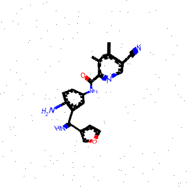 Cc1c(C#N)cnc(C(=O)Nc2ccc(N)c(C(=N)c3ccoc3)c2)c1C